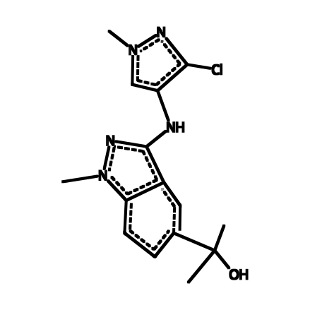 Cn1cc(Nc2nn(C)c3ccc(C(C)(C)O)cc23)c(Cl)n1